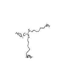 CC(C)CCCCCSC(SCCCCCC(C)C)C(=O)O